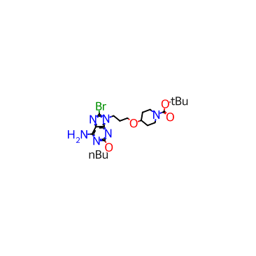 CCCCOc1nc(N)c2nc(Br)n(CCCOC3CCN(C(=O)OC(C)(C)C)CC3)c2n1